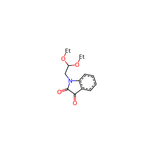 CCOC(CN1C(=O)C(=O)c2ccccc21)OCC